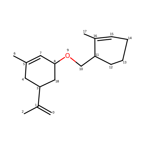 C=C(C)C1CC(C)=CC(OCC2CCCC=C2C)C1